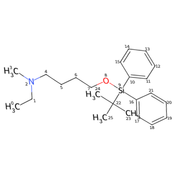 CCN(C)CCCCO[Si](c1ccccc1)(c1ccccc1)C(C)(C)C